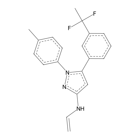 C=CNc1cc(-c2cccc(C(C)(F)F)c2)n(-c2ccc(C)cc2)n1